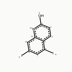 Oc1ccc2c(I)cc(I)cc2n1